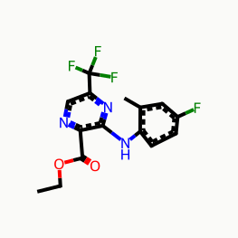 CCOC(=O)c1ncc(C(F)(F)F)nc1Nc1ccc(F)cc1C